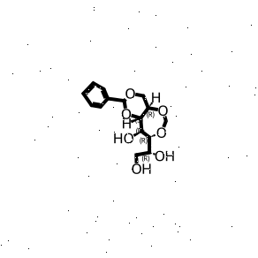 OC[C@@H](O)[C@H]1OCO[C@@H]2COC(c3ccccc3)O[C@H]2[C@@H]1O